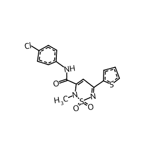 CN1C(C(=O)Nc2ccc(Cl)cc2)=CC(c2cccs2)=NS1(=O)=O